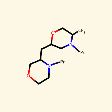 CC(C)N1CCOCC1CC1CN(C(C)C)C(C(F)(F)F)CO1